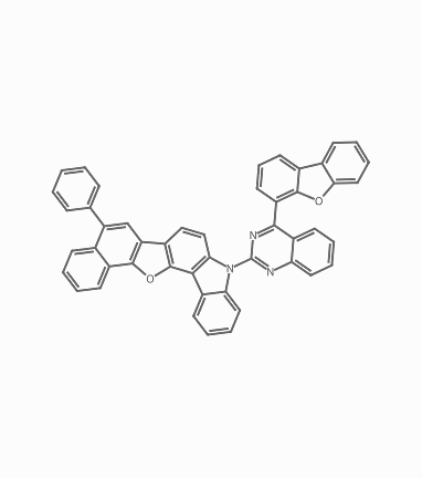 c1ccc(-c2cc3c4ccc5c(c6ccccc6n5-c5nc(-c6cccc7c6oc6ccccc67)c6ccccc6n5)c4oc3c3ccccc23)cc1